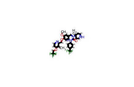 COc1cc(CN(C(=O)Nc2ccc(C(F)(F)F)cc2)C2(C)CCNCC2)ccc1OCc1nccc(OCC(F)(F)F)c1C